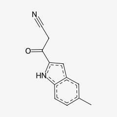 Cc1ccc2[nH]c(C(=O)CC#N)cc2c1